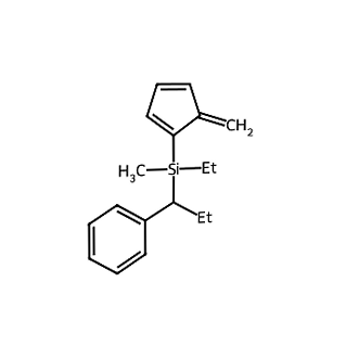 C=C1C=CC=C1[Si](C)(CC)C(CC)c1ccccc1